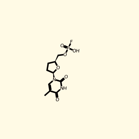 Cc1cn([C@H]2CC[C@@H](COP(=O)(O)F)O2)c(=O)[nH]c1=O